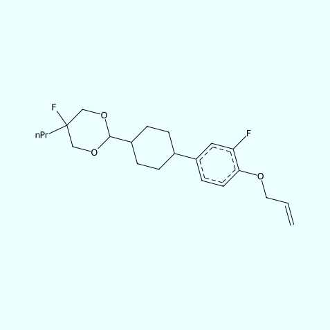 C=CCOc1ccc(C2CCC(C3OCC(F)(CCC)CO3)CC2)cc1F